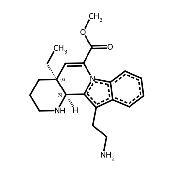 CC[C@]12C=C(C(=O)OC)n3c(c(CCN)c4ccccc43)[C@H]1NCCC2